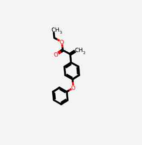 C=C(C(=O)OCC)c1ccc(Oc2ccccc2)cc1